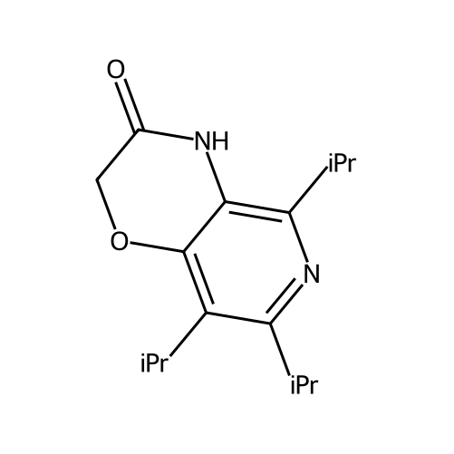 CC(C)c1nc(C(C)C)c(C(C)C)c2c1NC(=O)CO2